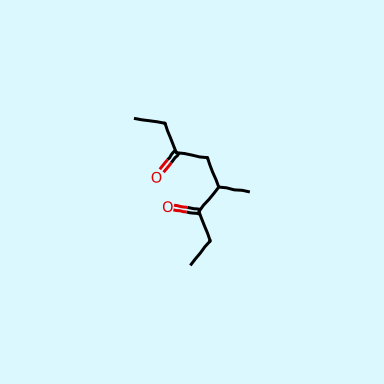 CCC(=O)CC(C)C(=O)CC